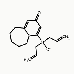 C=CC[N+]([O-])(CC=C)c1cc(=O)cc2n1CCCCC2